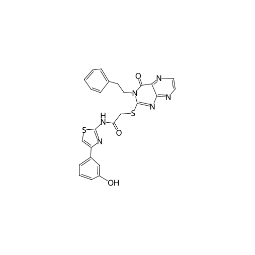 O=C(CSc1nc2nccnc2c(=O)n1CCc1ccccc1)Nc1nc(-c2cccc(O)c2)cs1